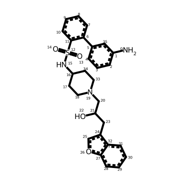 Nc1cccc(-c2ccccc2S(=O)(=O)NC2CCN(CC(O)Cc3coc4ccccc34)CC2)c1